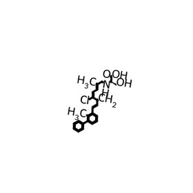 C=C(/C=C/c1cccc(-c2ccccc2)c1C)/C(Cl)=C\C=C(/C)CN[C@H](CO)C(=O)O